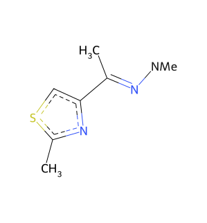 CN/N=C(\C)c1csc(C)n1